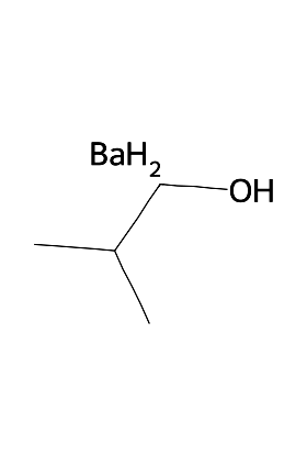 CC(C)CO.[BaH2]